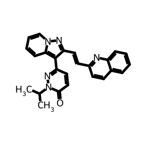 CC(C)n1nc(-c2c(C=Cc3ccc4ccccc4n3)nn3ccccc23)ccc1=O